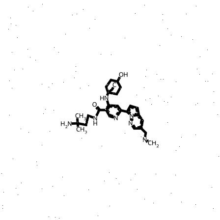 C=NCc1cnn2c(-c3cc(NC45CCC(O)(CC4)CC5)c(C(=O)NCCC(C)(C)N)cn3)ccc2c1